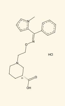 Cl.Cn1cccc1C(=NOCCN1CCC[C@@H](C(=O)O)C1)c1ccccc1